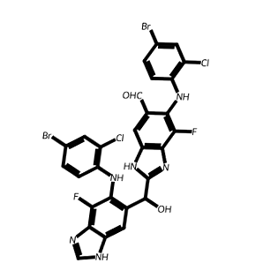 O=Cc1cc2[nH]c(C(O)c3cc4[nH]cnc4c(F)c3Nc3ccc(Br)cc3Cl)nc2c(F)c1Nc1ccc(Br)cc1Cl